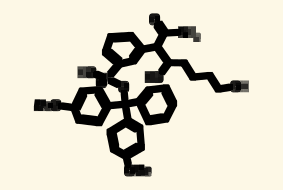 COc1ccc(C(OP(=O)(O)c2cccc(C(C(N)=O)C(O)CCCCO)c2)(c2ccccc2)c2ccc(OC)cc2)cc1